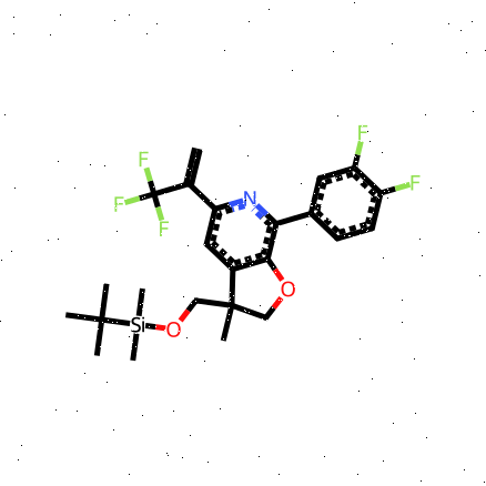 C=C(c1cc2c(c(-c3ccc(F)c(F)c3)n1)OCC2(C)CO[Si](C)(C)C(C)(C)C)C(F)(F)F